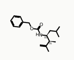 C=C(C)[C@H](C)[C@H](CC(C)C)NC(=O)OCc1ccccc1